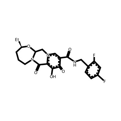 CC[C@@H]1CCCN2C(=O)c3c(O)c(=O)c(C(=O)NCc4ccc(F)cc4F)cn3CC2O1